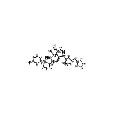 Fc1cccc(-c2cccc3[nH]c(-c4n[nH]c5cnc(-c6cncc(CN7CCCC7)c6)c(F)c45)nc23)c1